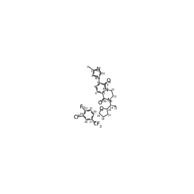 Cc1cn(-c2ccc3n(c2=O)CCN([C@@H](C)C2CC[C@H](c4cc(F)c(Cl)cc4C(F)(F)F)O2)C3=O)cn1